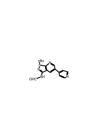 CCCCn1nc(NC=O)c2cc(-c3ccncc3)cnc21